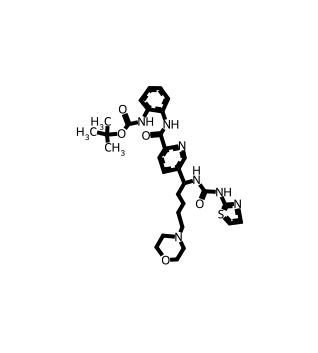 CC(C)(C)OC(=O)Nc1ccccc1NC(=O)c1ccc(C(CCCCN2CCOCC2)NC(=O)Nc2nccs2)cn1